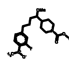 COC(CCCc1ccc([S+](C)[O-])c(F)c1)C1CCN(C(=O)OC(C)(C)C)CC1